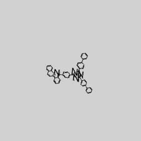 c1ccc(-c2ccc(-c3nc(-c4ccc(-c5ccccc5)cc4)nc(-c4ccc(-c5nc6c7ccccc7ccc6c6ccccc56)cc4)n3)cc2)cc1